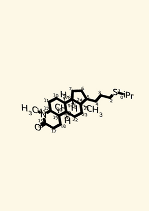 CC(C)SCCCC1CC[C@H]2[C@@H]3CCC4N(C)C(=O)CC[C@]4(C)[C@@H]3CC[C@]12C